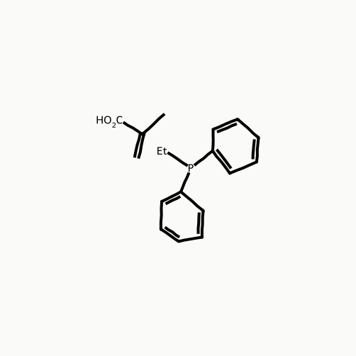 C=C(C)C(=O)O.CCP(c1ccccc1)c1ccccc1